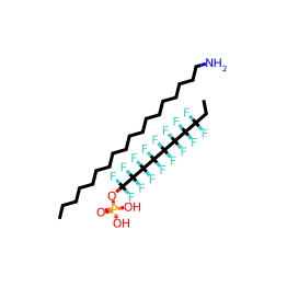 CCC(F)(F)C(F)(F)C(F)(F)C(F)(F)C(F)(F)C(F)(F)C(F)(F)C(F)(F)OP(=O)(O)O.CCCCCCCCCCCCCCCCCCN